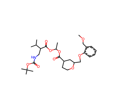 COCc1ccccc1OCC1CC(C(=O)OC(C)OC(=O)C(CNC(=O)OC(C)(C)C)C(C)C)CCO1